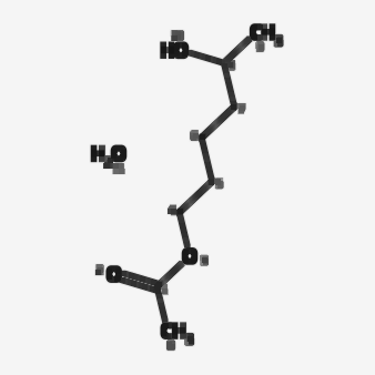 CC(=O)OCCCCC(C)O.O